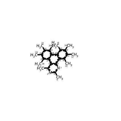 Cc1nc(C)c2c(n1)c1c(C)c(C)c(C)c(C)c1c1c(C)c(C)c(C)c(C)c21